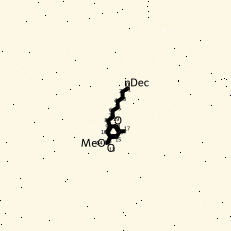 CCCCCCCCCCCCCCCCC1Cc2cc(C(=O)OC)cc(C)c2O1